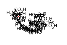 CC(=O)N[C@@H](CCC(=O)O)C(=O)N[C@@H](Cc1c[nH]cn1)C(=O)N[C@H](C(=O)N[C@H](C)C(=O)N[C@H](C)C(=O)N[C@H](C)C(=O)N[C@H](CSC1CC(=O)N(CCNC(=O)c2ccc(C(=O)O)c(-c3c4ccc(=O)cc-4oc4cc(O)ccc34)c2)C1=O)C(=O)N[C@H](C)C(=O)N[C@H](C)C(=O)N[C@H](C)C(=O)N[C@H](C(=O)N[C@@H](Cc1c[nH]cn1)C(=O)N[C@@H](CCC(=O)O)C(N)=O)[C@@H](C)O)[C@@H](C)O